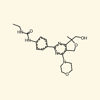 CCNC(=O)Nc1ccc(-c2nc(N3CCOCC3)c3c(n2)C(C)(CO)OC3)cc1